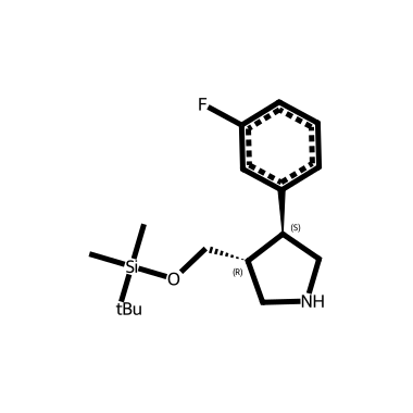 CC(C)(C)[Si](C)(C)OC[C@H]1CNC[C@@H]1c1cccc(F)c1